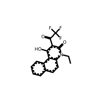 CCn1c(=O)c(C(=O)C(F)(F)F)c(O)c2c3ccccc3ccc21